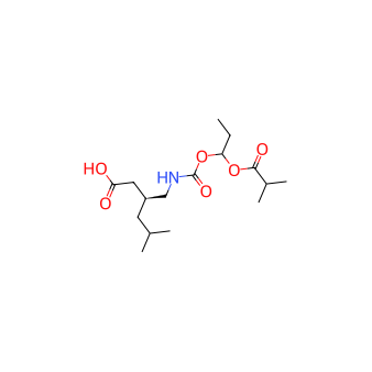 CCC(OC(=O)NC[C@H](CC(=O)O)CC(C)C)OC(=O)C(C)C